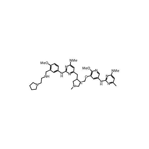 CNc1cc(C)nc(Nc2cnc(OC)c(OC[C@H]3CN(C)CC3Cc3cc(NC)nc(Nc4ccc(OC)c(CNCCN5CCCC5)c4)n3)c2)n1